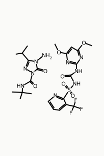 CC(C)c1nn(C(=O)NC(C)(C)C)c(=O)n1N.COc1cc(OC)nc(NC(=O)NS(=O)(=O)c2ncccc2C(F)(F)F)n1